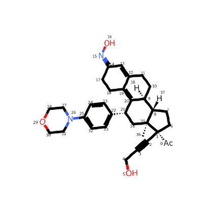 CC(=O)[C@@]1(C#CCO)CC[C@H]2[C@@H]3CCC4=CC(=NO)CCC4=C3[C@@H](c3ccc(N4CCOCC4)cc3)C[C@@]21C